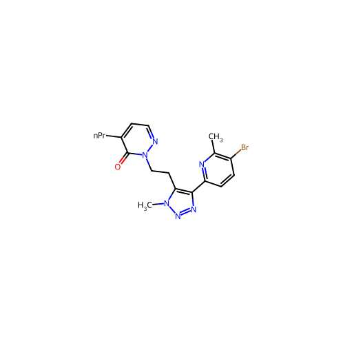 CCCc1ccnn(CCc2c(-c3ccc(Br)c(C)n3)nnn2C)c1=O